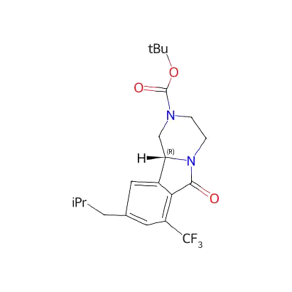 CC(C)Cc1cc2c(c(C(F)(F)F)c1)C(=O)N1CCN(C(=O)OC(C)(C)C)C[C@@H]21